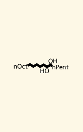 CCCCCCCCCCCCCC(O)C(O)CCCCC